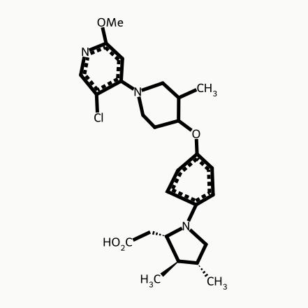 COc1cc(N2CCC(Oc3ccc(N4C[C@H](C)[C@@H](C)[C@@H]4CC(=O)O)cc3)C(C)C2)c(Cl)cn1